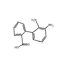 Nc1cccc(-c2ccccc2C(=O)O)c1N